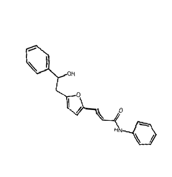 O=C(/C=C/c1ccc(CC(O)c2ccccc2)o1)Nc1ccccc1